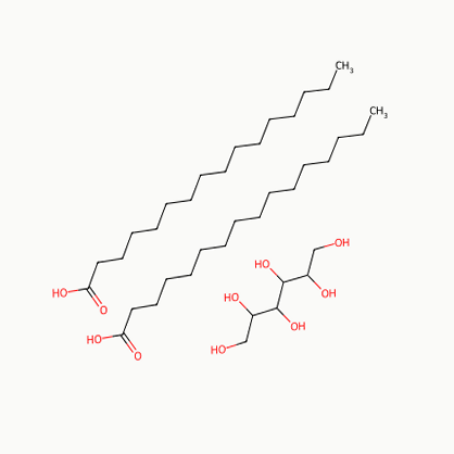 CCCCCCCCCCCCCCCC(=O)O.CCCCCCCCCCCCCCCC(=O)O.OCC(O)C(O)C(O)C(O)CO